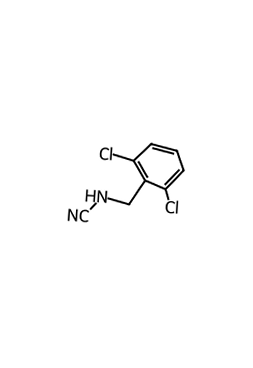 N#CNCc1c(Cl)cccc1Cl